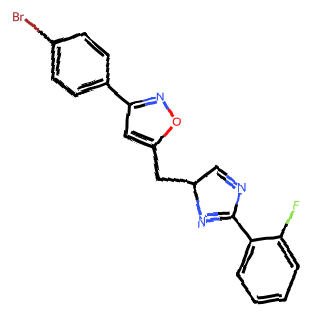 Fc1ccccc1C1=NC(Cc2cc(-c3ccc(Br)cc3)no2)C=N1